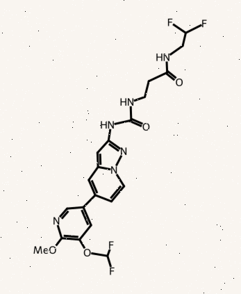 COc1ncc(-c2ccn3nc(NC(=O)NCCC(=O)NCC(F)F)cc3c2)cc1OC(F)F